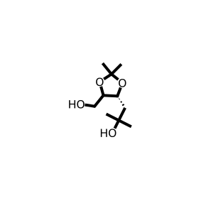 CC(C)(O)C[C@H]1OC(C)(C)OC1CO